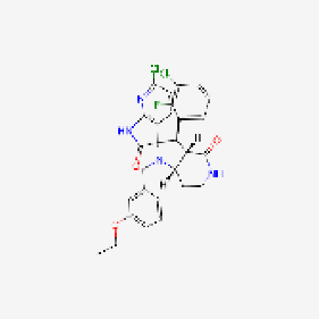 CCOc1cccc(CN2[C@H]3CCNC(=O)[C@H]3[C@H](c3cccc(Cl)c3F)[C@]23C(=O)Nc2nc(Cl)ccc23)c1